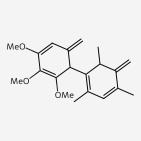 C=C1C(C)=CC(C)=C(C2C(=C)C=C(OC)C(OC)=C2OC)C1C